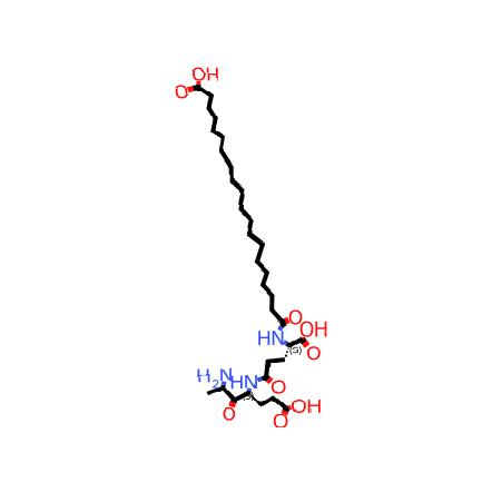 CC(N)C(=O)[C@H](CCC(=O)O)NC(=O)CC[C@H](NC(=O)CCCCCCCCCCCCCCCCCCC(=O)O)C(=O)O